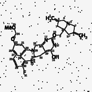 C=C1CN2CC(=C)CC2(COc2nc(O)c3c(n2)CN(c2cc(OCOC)cc4ccc(F)c(CC)c24)CC3)C1